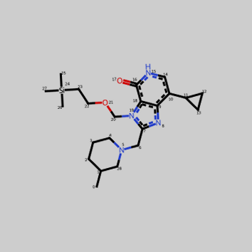 CC1CCCN(Cc2nc3c(C4CC4)c[nH]c(=O)c3n2COCC[Si](C)(C)C)C1